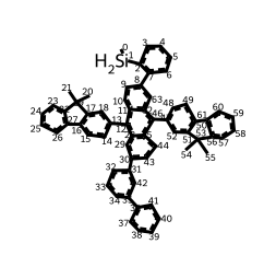 C[SiH2]c1ccccc1-c1ccc2c(-c3ccc4c(c3)C(C)(C)c3ccccc3-4)c3cc(-c4cccc(-c5ccccc5)c4)ccc3c(-c3ccc4c(c3)C(C)(C)c3ccccc3-4)c2c1